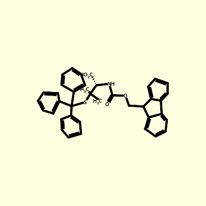 CC(C)(SC(c1ccccc1)(c1ccccc1)c1ccccc1)[C@@H](NC(=O)OCC1c2ccccc2-c2ccccc21)C(=O)O